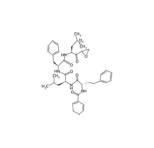 CC(C)C[C@H](NC(=O)[C@H](CCc1ccccc1)NC(=O)C1=CC[CH]C=C1)C(=O)N[C@@H](Cc1ccccc1)C(=O)N[C@@H](CC(C)C)C(=O)[C@@]1(C)CO1